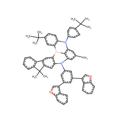 Cc1cc2c3c(c1)N(c1cc(-c4coc5ccccc45)cc(-c4coc5ccccc45)c1)c1cc4c(cc1B3c1cc(C(C)(C)C)ccc1N2c1ccc(C(C)(C)C)cc1)-c1ccccc1C4(C)C